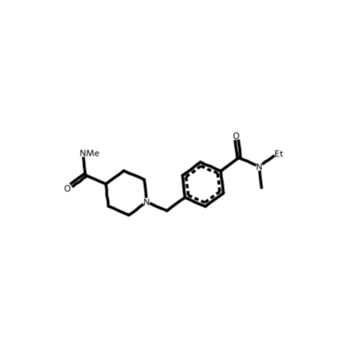 CCN(C)C(=O)c1ccc(CN2CCC(C(=O)NC)CC2)cc1